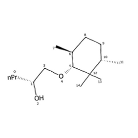 CCC[C@@H](O)CO[C@@H]1[C@@H](C)CC[C@H](C)C1(C)C